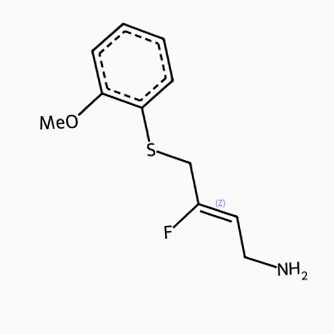 COc1ccccc1SC/C(F)=C/CN